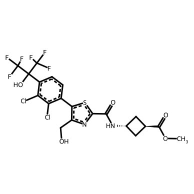 COC(=O)[C@H]1C[C@H](NC(=O)c2nc(CO)c(-c3ccc(C(O)(C(F)(F)F)C(F)(F)F)c(Cl)c3Cl)s2)C1